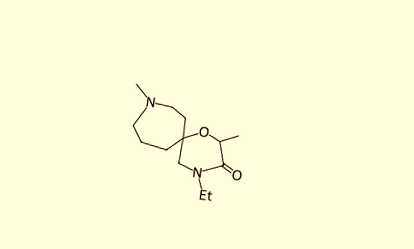 CCN1CC2(CCCN(C)CC2)OC(C)C1=O